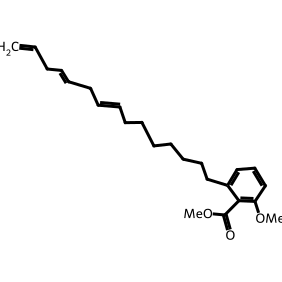 C=CCC=CCC=CCCCCCCCc1cccc(OC)c1C(=O)OC